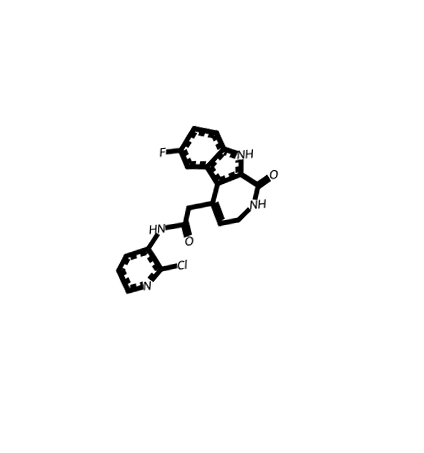 O=C(CC1=CCNC(=O)c2[nH]c3ccc(F)cc3c21)Nc1cccnc1Cl